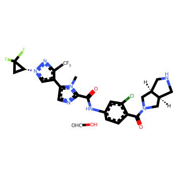 Cn1c(-c2cn([C@@H]3CC3(F)F)nc2C(F)(F)F)cnc1C(=O)Nc1ccc(C(=O)N2C[C@H]3CNC[C@H]3C2)c(Cl)c1.O=CO